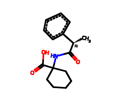 C[C@H](C(=O)NC1(C(=O)O)CCCCC1)c1ccccc1